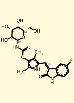 Cc1[nH]c(/C=C2\C(=O)Nc3ccc(F)cc32)c(C)c1OC(=O)N[C@H]1O[C@@H](CO)[C@@H](O)[C@@H](O)[C@@H]1O